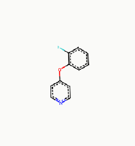 Fc1[c]cccc1Oc1ccncc1